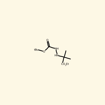 CCOC(=O)C(C)(C)NNC(=O)OC(C)(C)C